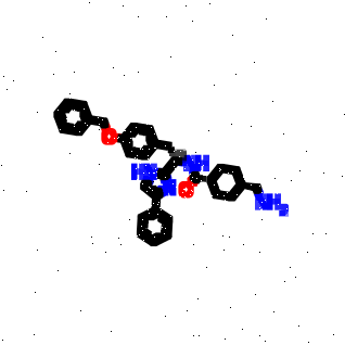 NC[C@H]1CC[C@H](C(=O)N[C@@H](Cc2ccc(OCc3ccccc3)cc2)c2nc(-c3ccccc3)c[nH]2)CC1